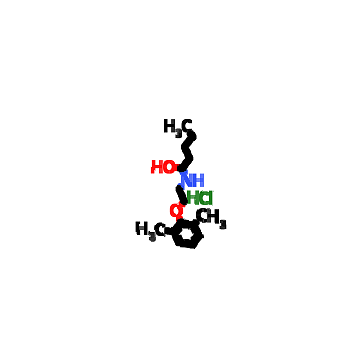 CCCCC(O)NCCOc1c(C)cccc1C.Cl